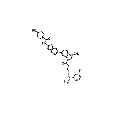 C[C@H](CCCCC(=O)c1cn(C)c2ccc(-c3ccn4nc(NC(=O)N5CCC(O)CC5)nc4c3)cc12)c1cccc(F)c1